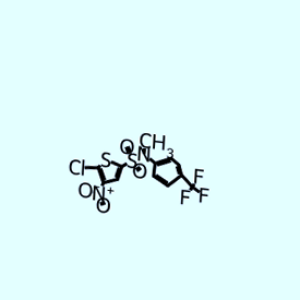 CN(c1ccc(C(F)(F)F)cc1)S(=O)(=O)c1cc([N+](=O)[O-])c(Cl)s1